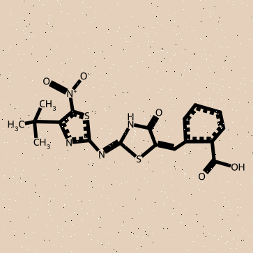 CC(C)(C)c1nc(N=C2NC(=O)C(=Cc3ccccc3C(=O)O)S2)sc1[N+](=O)[O-]